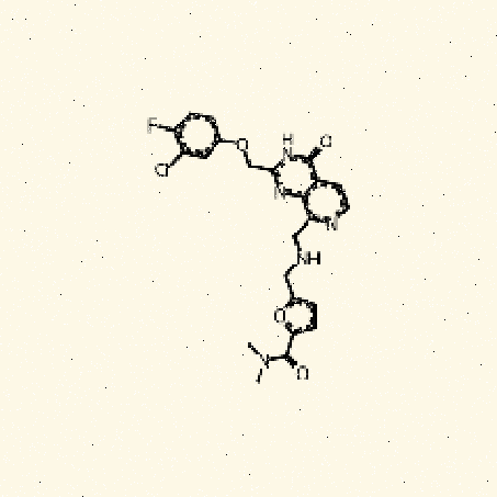 CN(C)C(=O)c1ccc(CNCc2nccc3c(=O)[nH]c(COc4ccc(F)c(Cl)c4)nc23)o1